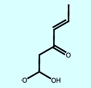 CC=CC(=O)CC([O])O